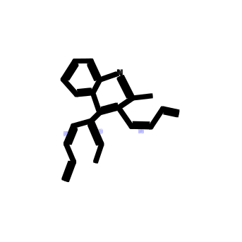 C=C/C=C\C(=C/C)c1c(/C=C\C=C)c(C)nc2ccccc12